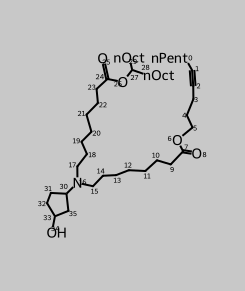 CCCCCC#CCCCOC(=O)CCCCCCCN(CCCCCCCC(=O)OC(CCCCCCCC)CCCCCCCC)C1CCC(O)C1